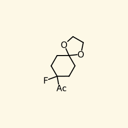 CC(=O)C1(F)CCC2(CC1)OCCO2